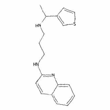 CC(NCCCNc1ccc2ccccc2n1)c1ccsc1